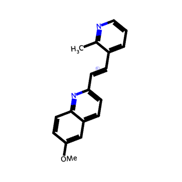 COc1ccc2nc(/C=C/c3cccnc3C)ccc2c1